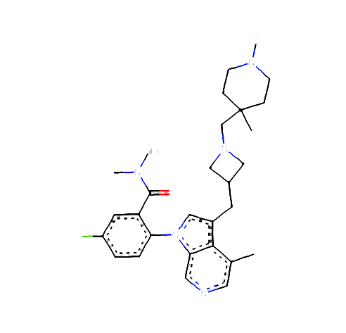 CC(=O)N1CCC(C)(CN2CC(Cc3cn(-c4ccc(F)cc4C(=O)N(C)C(C)C)c4cncc(C)c34)C2)CC1